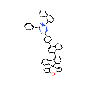 c1ccc(-c2nc(-c3ccc(-c4ccc(-c5cccc6c5-c5ccccc5C65c6ccccc6Oc6ccccc65)c5ccccc45)cc3)nc(-c3cccc4ccccc34)n2)cc1